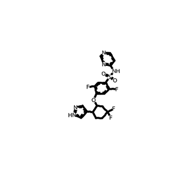 O=S(=O)(Nc1ccncn1)c1cc(F)c(OC2CC(F)(F)CCC2c2cn[nH]c2)cc1F